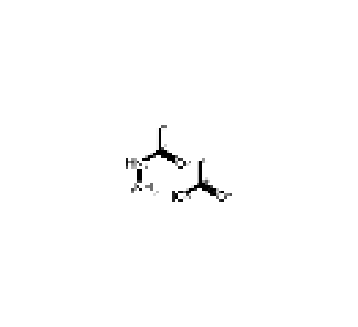 CC(=O)NN.CC(=O)O